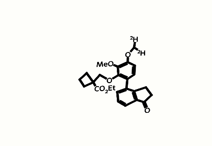 [2H]C([2H])Oc1ccc(-c2cccc3c2CCC3=O)c(OCC2(C(=O)OCC)CCC2)c1OC